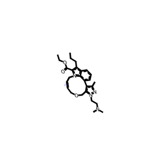 CCCc1c(C(=O)OCC)n2c3c(cccc13)-c1c(C)nn(CCN(C)C)c1COC/C=C\C2